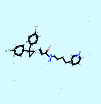 O=C(/C=C/[C@@H]1CC1(c1ccc(F)cc1)c1ccc(F)cc1)NCCCCc1cccnc1